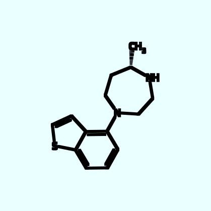 C[C@H]1CCN(c2cccc3sccc23)CCN1